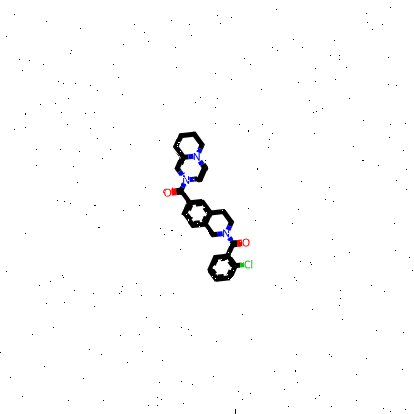 O=C(c1ccc2c(c1)CCN(C(=O)c1ccccc1Cl)C2)N1CCN2CCCCC2C1